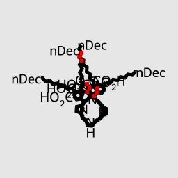 CCCCCCCCCCCCCCCCCCOc1ccc(-c2c(-c3ccc(OCCCCCCCCCCCCCCCCCC)c(C(=O)O)c3)c3c(-c4ccc(OCCCCCCCCCCCCCCCCCC)c(C(=O)O)c4)c4nc(cc5ccc(cc6nc(cc2n3-c2ccc(OCCCCCCCCCCCCCCCCCC)c(C(=O)O)c2)C=C6)[nH]5)C=C4)cc1C(=O)O